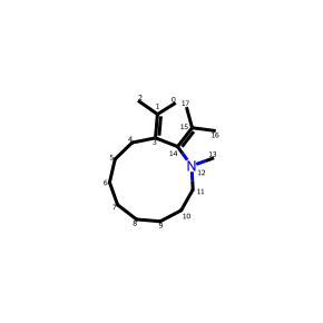 CC(C)=C1CCCCCCCCN(C)C1=C(C)C